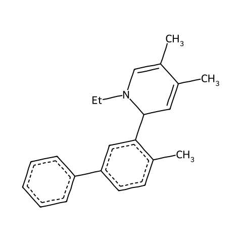 CCN1C=C(C)C(C)=CC1c1cc(-c2ccccc2)ccc1C